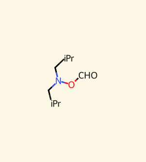 CC(C)CN(CC(C)C)OC=O